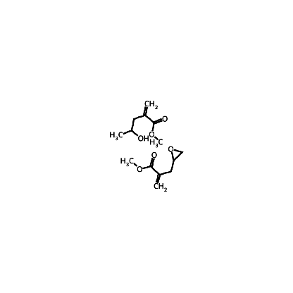 C=C(CC(C)O)C(=O)OC.C=C(CC1CO1)C(=O)OC